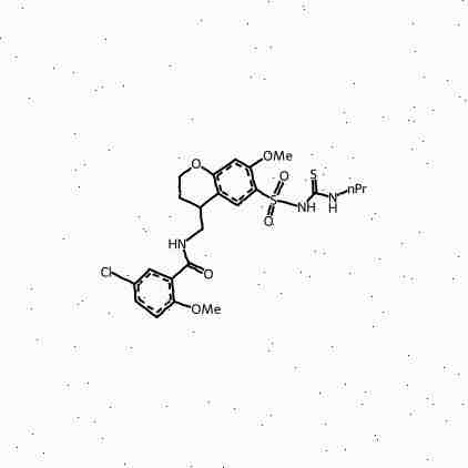 CCCNC(=S)NS(=O)(=O)c1cc2c(cc1OC)OCCC2CNC(=O)c1cc(Cl)ccc1OC